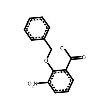 O=C(Cl)c1cccc([N+](=O)[O-])c1OCc1ccccc1